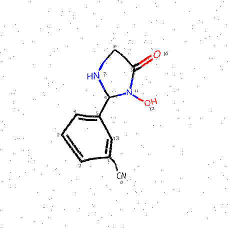 N#Cc1cccc(C2NCC(=O)N2O)c1